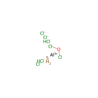 Cl.Cl.ClOCl.S.[Al+3].[Cl-].[Cl-].[Cl-]